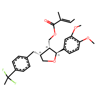 CC=C(C)C(=O)OC[C@H]1[C@@H](Cc2ccc(C(C)(F)F)cc2)CO[C@@H]1c1ccc(OC)c(OC)c1